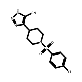 N#Cc1[nH]nnc1C1CCN(S(=O)(=O)c2ccc(Cl)cc2)CC1